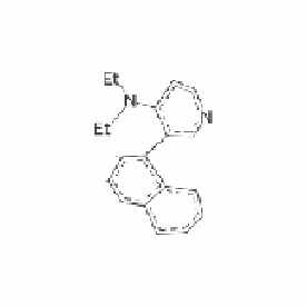 CCN(CC)c1ccncc1-c1[c]ccc2ccccc12